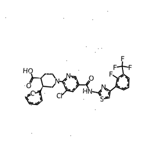 O=C(Nc1nc(-c2cccc(C(F)(F)F)c2F)cs1)c1cnc(N2CC[C@H](C(=O)O)[C@H](c3ccccc3)C2)c(Cl)c1